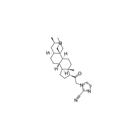 COC[C@]12CC[C@H](C)C[C@@H]1CC[C@H]1[C@@H]3CC[C@H](C(=O)Cn4ccnc4C#N)[C@@]3(C)CC[C@@H]12